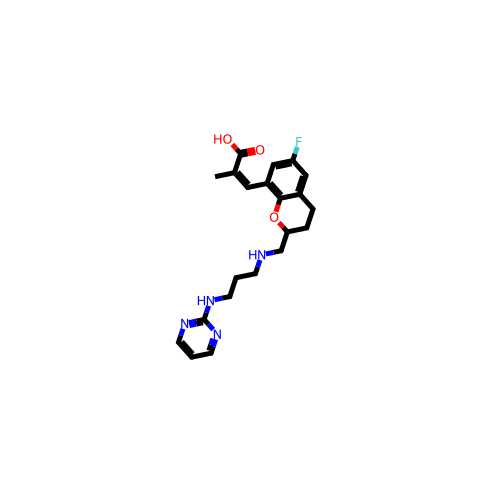 CC(=Cc1cc(F)cc2c1OC(CNCCCNc1ncccn1)CC2)C(=O)O